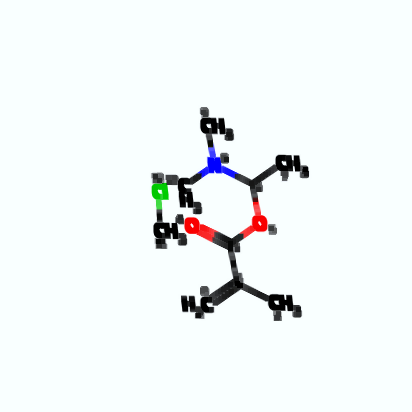 C=C(C)C(=O)OC(C)N(C)C.CCl